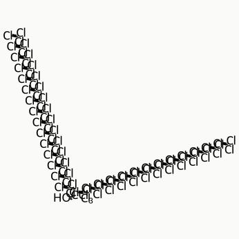 ClC(Cl)Cl.ClC(Cl)Cl.ClC(Cl)Cl.ClC(Cl)Cl.ClC(Cl)Cl.ClC(Cl)Cl.ClC(Cl)Cl.ClC(Cl)Cl.ClC(Cl)Cl.ClC(Cl)Cl.ClC(Cl)Cl.ClC(Cl)Cl.ClC(Cl)Cl.ClC(Cl)Cl.ClC(Cl)Cl.ClC(Cl)Cl.ClC(Cl)Cl.ClC(Cl)Cl.ClC(Cl)Cl.ClC(Cl)Cl.ClC(Cl)Cl.ClC(Cl)Cl.ClC(Cl)Cl.ClC(Cl)Cl.ClC(Cl)Cl.ClC(Cl)Cl.ClC(Cl)Cl.ClC(Cl)Cl.OCC(Cl)(Cl)Cl